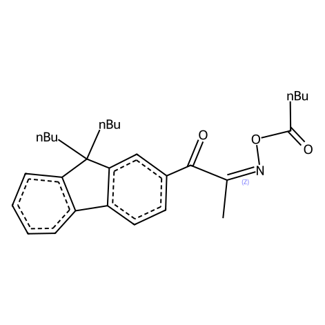 CCCCC(=O)O/N=C(/C)C(=O)c1ccc2c(c1)C(CCCC)(CCCC)c1ccccc1-2